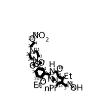 CCCc1c(C=NO)c(CC)c2c(=O)[nH]c(-c3cc(S(=O)(=O)N4CCN(CCO[N+](=O)[O-])CC4)ccc3OCC)nn12